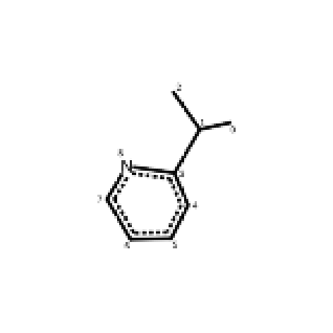 CC(C)c1[c]cccn1